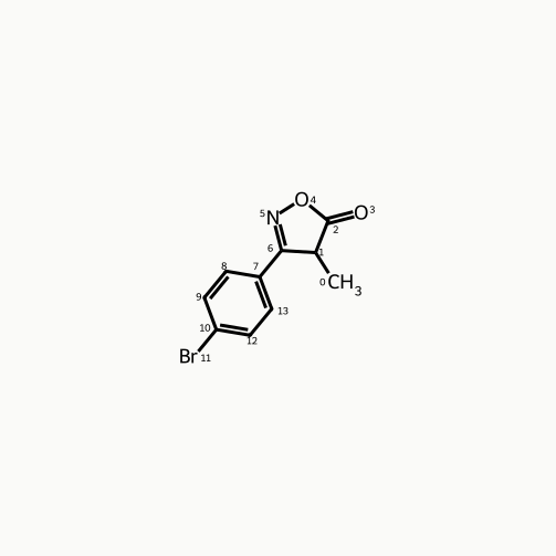 CC1C(=O)ON=C1c1ccc(Br)cc1